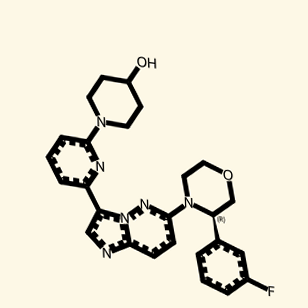 OC1CCN(c2cccc(-c3cnc4ccc(N5CCOC[C@H]5c5cccc(F)c5)nn34)n2)CC1